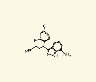 N#CCCC(c1ccc(Cl)cc1F)c1n[nH]c2c(N)cccc12